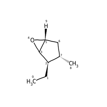 CC[C@H]1C2O[C@@H]2C[C@@H]1C